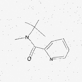 CN(C(=O)c1ccccn1)C(C)(C)C